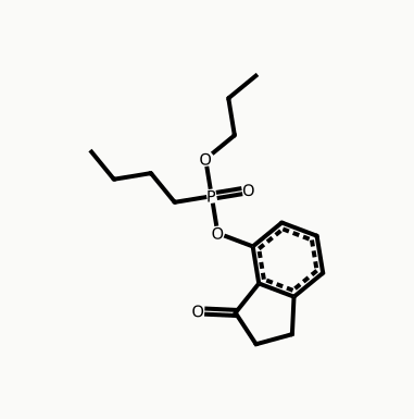 CCCCP(=O)(OCCC)Oc1cccc2c1C(=O)CC2